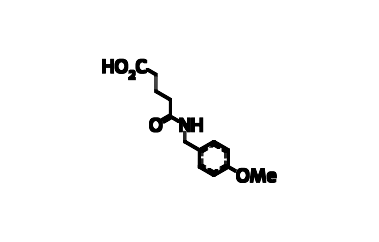 COc1ccc(CNC(=O)CCCC(=O)O)cc1